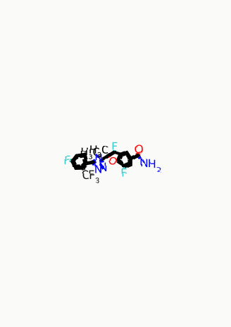 Cn1c(-c2ccc(F)cc2C(F)(F)F)nnc1C1(C)Oc2c(F)cc(C(N)=O)cc2C1F